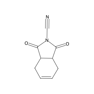 N#CN1C(=O)C2CC=CCC2C1=O